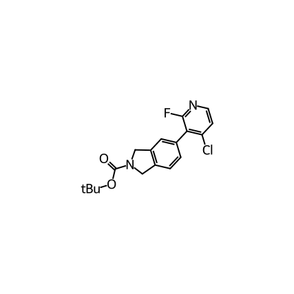 CC(C)(C)OC(=O)N1Cc2ccc(-c3c(Cl)ccnc3F)cc2C1